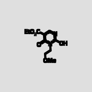 CCOC(=O)c1cnc(O)n(CCOC)c1=O